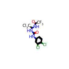 O=C(Nc1ccc(Cl)c(Cl)c1)NC(NC(=O)C(F)(F)F)C(Cl)(Cl)Cl